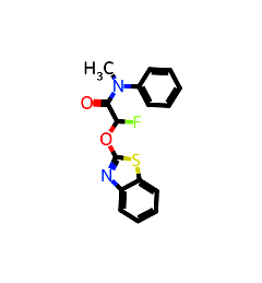 CN(C(=O)C(F)Oc1nc2ccccc2s1)c1ccccc1